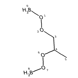 BOOCC(C)OOB